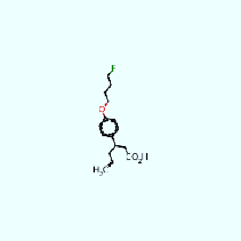 C=CCC(CC(=O)O)c1ccc(OCCCCF)cc1